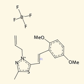 C=CC[n+]1nc(C)sc1/C=C/c1cc(OC)ccc1OC.F[B-](F)(F)F